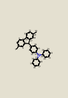 Cc1ccc2c(c1)C(c1ccc(N(c3ccccc3)c3ccccc3)cc1)c1cc(C)ccc1-2